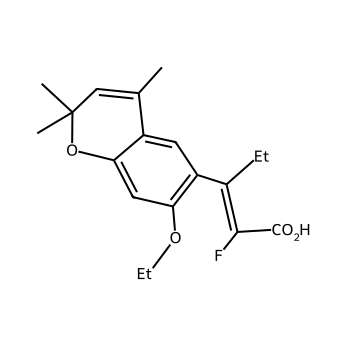 CCOc1cc2c(cc1C(CC)=C(F)C(=O)O)C(C)=CC(C)(C)O2